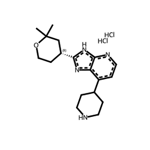 CC1(C)C[C@H](c2nc3c(C4CCNCC4)ccnc3[nH]2)CCO1.Cl.Cl